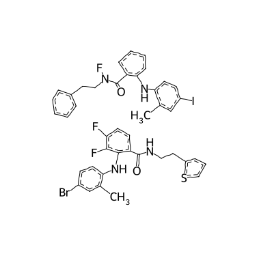 Cc1cc(Br)ccc1Nc1c(C(=O)NCCc2cccs2)ccc(F)c1F.Cc1cc(I)ccc1Nc1ccccc1C(=O)N(F)CCc1ccccc1